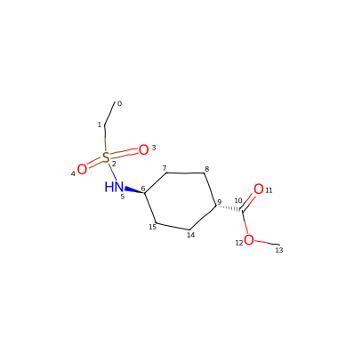 CCS(=O)(=O)N[C@H]1CC[C@H](C(=O)OC)CC1